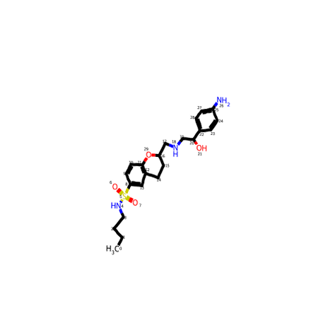 CCCCNS(=O)(=O)c1ccc2c(c1)CCC(CNCC(O)c1ccc(N)cc1)O2